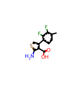 Cc1ccc(-c2csc(N)c2C(=O)O)c(F)c1F